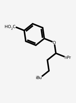 CCCC(CCC(C)CC)Oc1ccc(C(=O)O)cc1